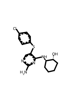 Nc1ncc(Sc2ccc(Cl)cc2)c(N[C@@H]2CCCC[C@H]2O)n1